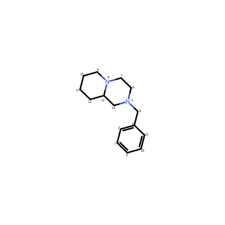 c1ccc(CN2CCN3CCCCC3C2)cc1